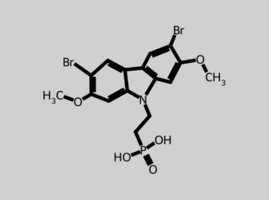 COc1cc2c(cc1Br)c1cc(Br)c(OC)cc1n2CCP(=O)(O)O